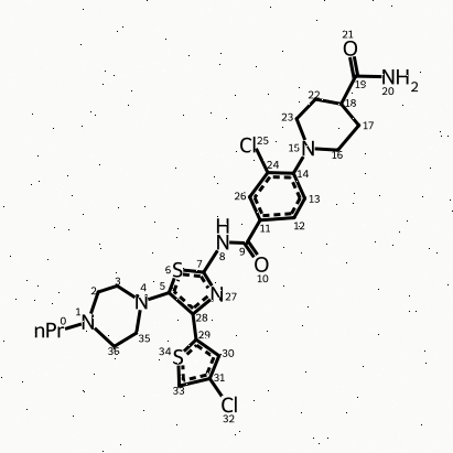 CCCN1CCN(c2sc(NC(=O)c3ccc(N4CCC(C(N)=O)CC4)c(Cl)c3)nc2-c2cc(Cl)cs2)CC1